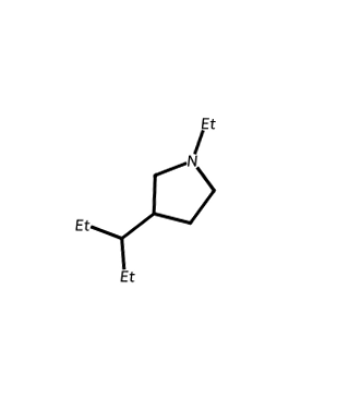 CCC(CC)C1CCN(CC)C1